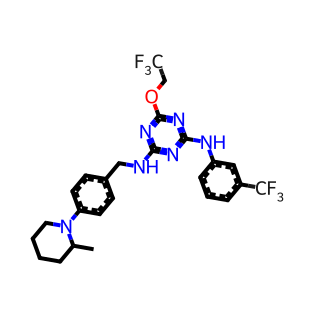 CC1CCCCN1c1ccc(CNc2nc(Nc3cccc(C(F)(F)F)c3)nc(OCC(F)(F)F)n2)cc1